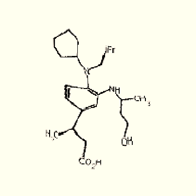 CC(C)CN(c1ccc([C@H](C)CC(=O)O)cc1NC(C)CCO)C1CCCCC1